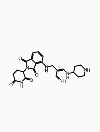 N=C/C(=C\NC1CCNCC1)CNc1cccc2c1C(=O)N(C1CCC(=O)NC1=O)C2=O